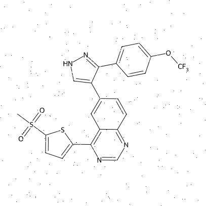 CS(=O)(=O)c1ccc(-c2ncnc3ccc(-c4c[nH]nc4-c4ccc(OC(F)(F)F)cc4)cc23)s1